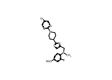 CCc1cnc(N2CCC(c3nc(CN(C)c4ccc(SC)cc4F)cs3)CC2)nc1